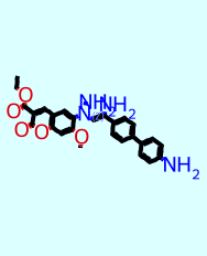 CCOC(=O)c1cc2cc(N(N)/C=C(\N)c3ccc(-c4ccc(N)cc4)cc3)c(OC)cc2oc1=O